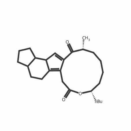 CCCC[C@H]1CCCC[C@@H](C)C(=O)C2=CC3C(=C2CC(=O)O1)CCC1CCCC13